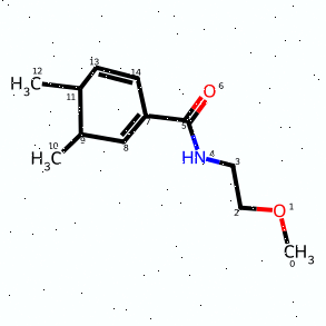 COCCNC(=O)C1=CC(C)C(C)C=C1